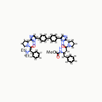 CCN(CC)C(C(=O)N1CCC[C@H]1c1ncc(-c2ccc(-c3ccc(-c4cnc([C@@H]5CCCN5C(=O)C[C@@H](Cc5ccccc5)NC(=O)OC)[nH]4)cc3)cc2)[nH]1)c1ccccc1